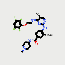 COc1cc(C(=O)NC2CCN(C)CC2)ccc1Nc1ncc(C(C)=O)c(NCCOc2c(F)c(F)cc(F)c2F)n1